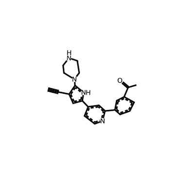 C#Cc1cc(-c2ccnc(-c3cccc(C(C)=O)c3)c2)[nH]c1N1CCNCC1